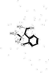 C[C@H](O)[C@H](c1ccccc1Cl)N(C)C(=O)O